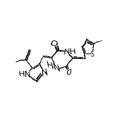 C=C(C)c1[nH]cnc1/C=c1\[nH]c(=O)/c(=C/c2ccc(C)s2)[nH]c1=O